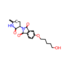 C=C1CCC(N2C(=O)c3ccc(OCCCCCO)cc3C2=O)C(=O)N1